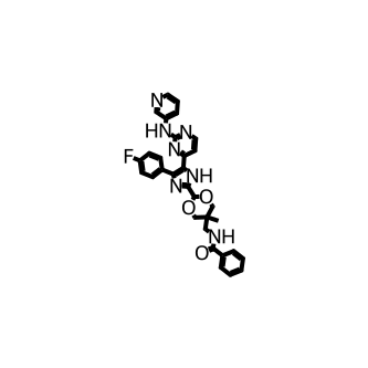 CC1(CNC(=O)c2ccccc2)COC(c2nc(-c3ccc(F)cc3)c(-c3ccnc(Nc4cccnc4)n3)[nH]2)OC1